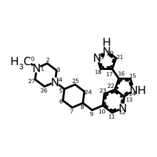 CN1CCN(C2CCC(Cc3cnc4[nH]cc(-c5cn[nH]c5)c4c3)CC2)CC1